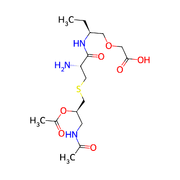 CC[C@@H](COCC(=O)O)NC(=O)[C@@H](N)CSC[C@@H](CNC(C)=O)OC(C)=O